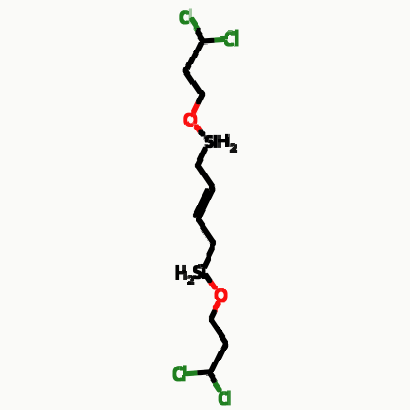 ClC(Cl)CCO[SiH2]CC=CC[SiH2]OCCC(Cl)Cl